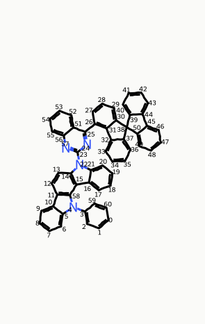 c1ccc(-n2c3ccccc3c3ccc4c(c5ccccc5n4-c4nc(-c5cccc6c5-c5ccccc5C65c6ccccc6-c6ccccc65)c5ccccc5n4)c32)cc1